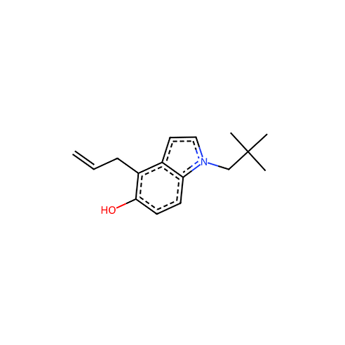 C=CCc1c(O)ccc2c1ccn2CC(C)(C)C